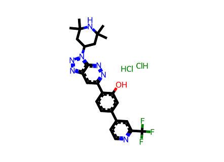 CC1(C)CC(n2nnc3cc(-c4ccc(-c5ccnc(C(F)(F)F)c5)cc4O)nnc32)CC(C)(C)N1.Cl.Cl